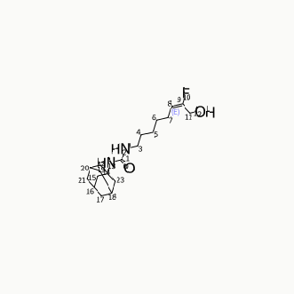 O=C(NCCCCC/C=C(/F)CO)NC12CC3CC(CC(C3)C1)C2